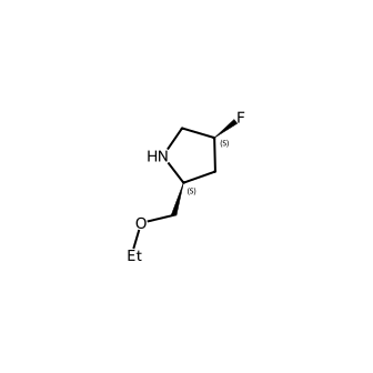 CCOC[C@@H]1C[C@H](F)CN1